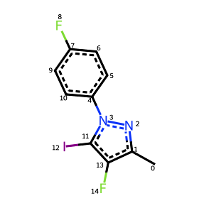 Cc1nn(-c2ccc(F)cc2)c(I)c1F